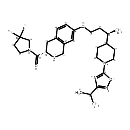 CC(C)c1noc(N2CCC([C@H](C)CCOc3ccc4c(c3)CN[C@H](C(=O)N3CCC(F)(F)C3)C4)CC2)n1